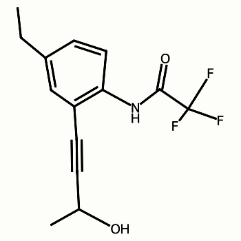 CCc1ccc(NC(=O)C(F)(F)F)c(C#CC(C)O)c1